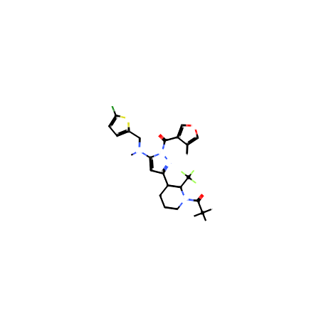 Cc1cocc1C(=O)n1nc(C2CCCN(C(=O)C(C)(C)C)C2C(F)(F)F)cc1N(C)Cc1ccc(Cl)s1